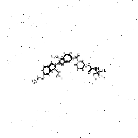 CCOc1ccc2cc(-c3nc4cc(C(=O)N5CCC[C@@H](OC(=O)NC(C)(C)C)C5)ccc4n3C)n(CC)c2c1